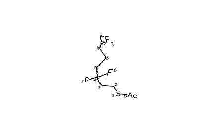 CC(=O)SCCC(F)(F)CCCC(F)(F)F